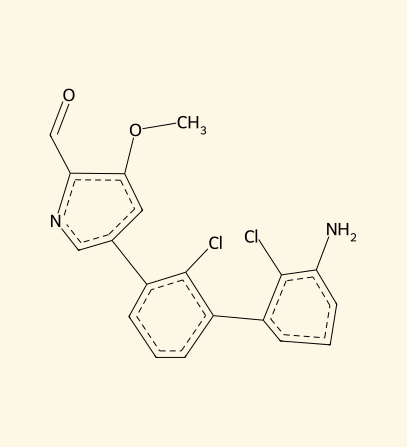 COc1cc(-c2cccc(-c3cccc(N)c3Cl)c2Cl)cnc1C=O